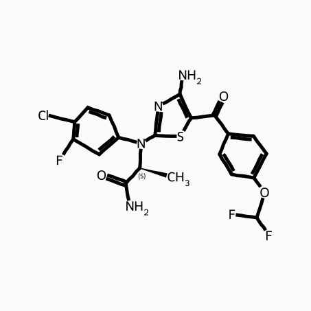 C[C@@H](C(N)=O)N(c1ccc(Cl)c(F)c1)c1nc(N)c(C(=O)c2ccc(OC(F)F)cc2)s1